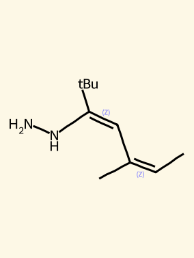 C/C=C(C)\C=C(/NN)C(C)(C)C